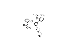 CC(N)c1cccc(-c2cc(COc3ccccc3CC(=O)O)cc(N3CCC4(CCOCC4)CC3)c2)c1F